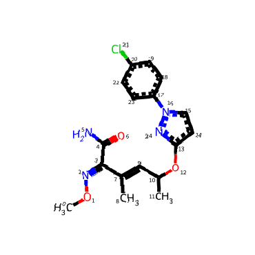 CO/N=C(C(N)=O)\C(C)=C\C(C)Oc1ccn(-c2ccc(Cl)cc2)n1